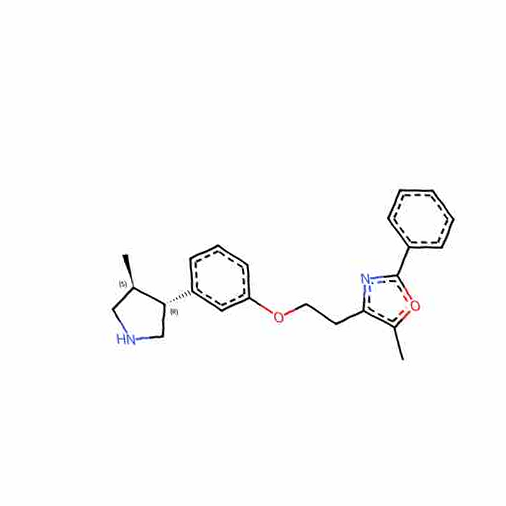 Cc1oc(-c2ccccc2)nc1CCOc1cccc([C@@H]2CNC[C@H]2C)c1